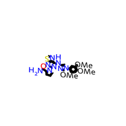 COc1cc(-n2cnc(Nc3nc(N4CCCC4C(N)=O)nc4scnc34)c2)cc(OC)c1OC